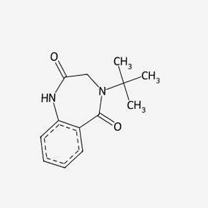 CC(C)(C)N1CC(=O)Nc2ccccc2C1=O